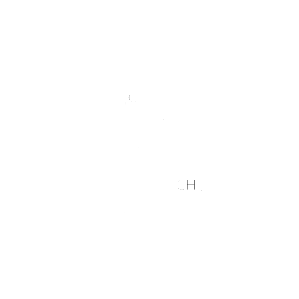 CC1=CCCC1(C)c1ccccc1